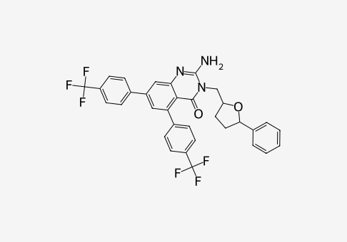 Nc1nc2cc(-c3ccc(C(F)(F)F)cc3)cc(-c3ccc(C(F)(F)F)cc3)c2c(=O)n1CC1CCC(c2ccccc2)O1